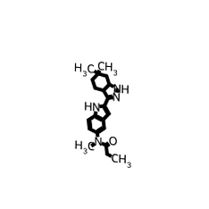 CCC(=O)N(C)c1ccc2[nH]c(C3=NNC4CC(C)(C)CCC34)cc2c1